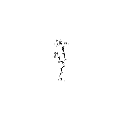 CCCCCN(CC#CC#CC(C)(C)C)CCNC